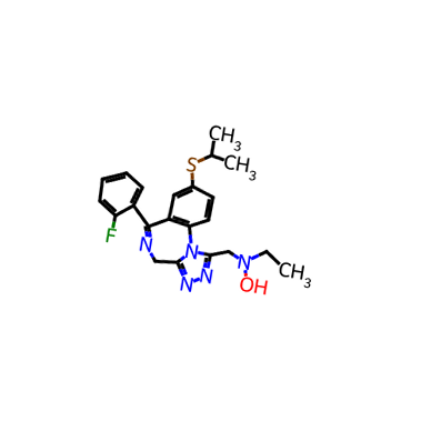 CCN(O)Cc1nnc2n1-c1ccc(SC(C)C)cc1C(c1ccccc1F)=NC2